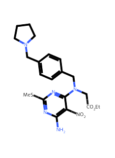 CCOC(=O)CN(Cc1ccc(CN2CCCC2)cc1)c1nc(SC)nc(N)c1[N+](=O)[O-]